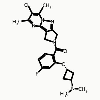 Cc1nc2c3c(nn2c(C)c1Cl)CN(C(=O)c1ccc(F)cc1O[C@H]1C[C@H](N(C)C)C1)C3